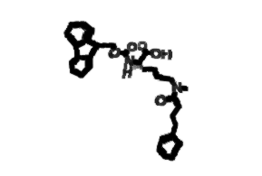 CN(CCCC[C@H](NC(=O)OCC1c2ccccc2-c2ccccc21)C(=O)O)C(=O)CCCc1ccccc1